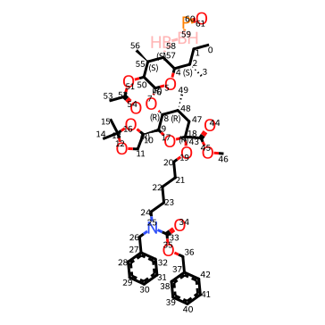 CC[C@H](C)C1O[C@H](O[C@H]2C([C@H]3COC(C)(C)O3)O[C@@](OCCCCCN(Cc3ccccc3)C(=O)OCc3ccccc3)(C(=O)OC)C[C@H]2C)C(OC(C)=O)[C@@H](C)[C@@H]1BBP=O